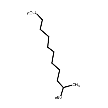 CCCCCCCCCCCCCCCCC(C)CCCC